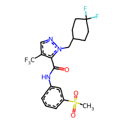 CS(=O)(=O)c1cccc(NC(=O)c2c(C(F)(F)F)cnn2CC2CCC(F)(F)CC2)c1